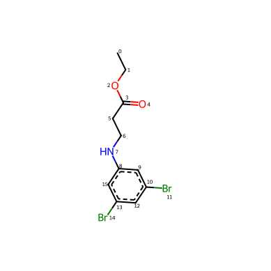 CCOC(=O)CCNc1cc(Br)cc(Br)c1